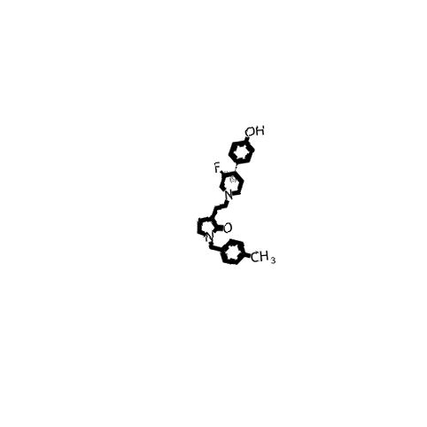 Cc1ccc(CN2CCC(CCN3CC[C@@H](c4ccc(O)cc4)[C@H](F)C3)C2=O)cc1